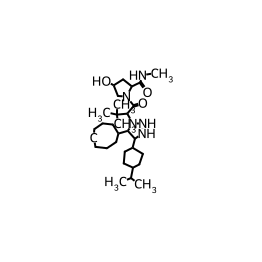 CNC(=O)C1CC(O)CN1C(=O)C(N1NNC(C2CCC(C(C)C)CC2)C1C1CCCCCCC1)C(C)(C)C